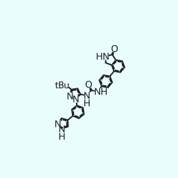 CC(C)(C)c1cc(NC(=O)Nc2ccc(-c3cccc4c3CNC4=O)cc2)n(-c2cccc(-c3cn[nH]c3)c2)n1